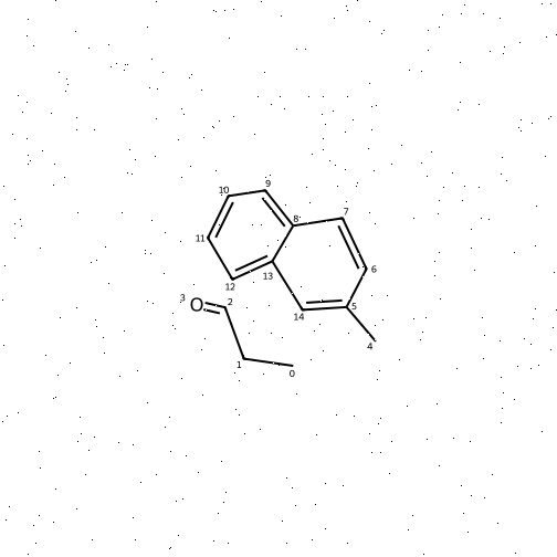 CCC=O.Cc1ccc2ccccc2c1